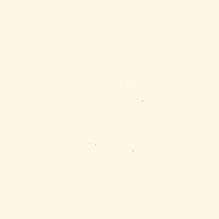 CCCCCCC(C)(CCC)CCC[C@@](C)(O)CO